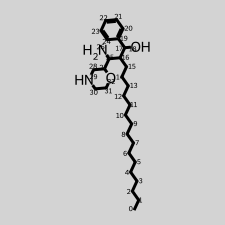 CCCCCCCCCCCCCCCCC(C(O)c1ccccc1)C(N)C1CNCCO1